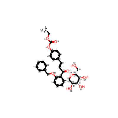 CCOC(=O)Oc1ccc(C=CC(=O)c2c(OCc3ccccc3)cccc2[C@@H]2O[C@H](CO)[C@@H](O)[C@H](O)[C@H]2O)cc1